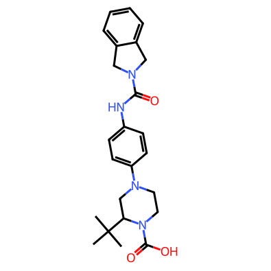 CC(C)(C)C1CN(c2ccc(NC(=O)N3Cc4ccccc4C3)cc2)CCN1C(=O)O